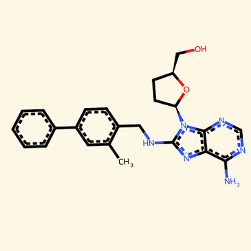 Cc1cc(-c2ccccc2)ccc1CNc1nc2c(N)ncnc2n1[C@H]1CC[C@@H](CO)O1